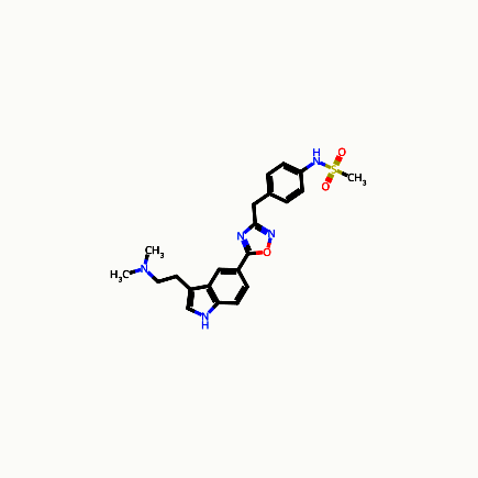 CN(C)CCc1c[nH]c2ccc(-c3nc(Cc4ccc(NS(C)(=O)=O)cc4)no3)cc12